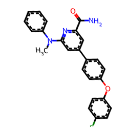 CN(c1ccccc1)c1cc(-c2ccc(Oc3ccc(F)cc3)cc2)cc(C(N)=O)n1